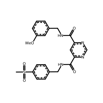 COc1cccc(CNC(=O)c2cc(C(=O)NCc3ccc(S(C)(=O)=O)cc3)ncn2)c1